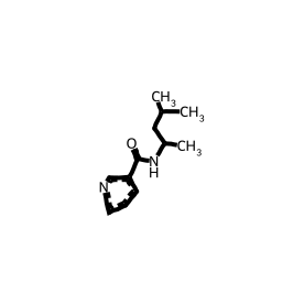 CC(C)CC(C)NC(=O)c1cccnc1